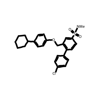 CNS(=O)(=O)c1ccc(-c2ccc(Cl)cc2)c(COc2ccc(C3[CH]CCCC3)cc2)c1